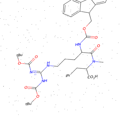 CC(C)CC(C(=O)O)N(C)C(=O)C(CCCN/C(=N\C(=O)OC(C)(C)C)NC(=O)OC(C)(C)C)NC(=O)OCC1c2ccccc2-c2ccccc21